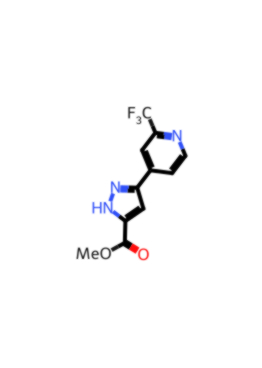 COC(=O)c1cc(-c2ccnc(C(F)(F)F)c2)n[nH]1